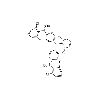 CCCCN(c1ccc(C(c2ccc(N(CCCC)c3c(Cl)cccc3Cl)cc2)c2c(Cl)cccc2Cl)cc1)c1c(Cl)cccc1Cl